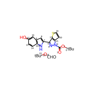 CC(C)(C)OC(=O)n1nc(-c2cc3cc(O)ccc3[nH]2)c2sccc21.CC(C)(C)OC=O